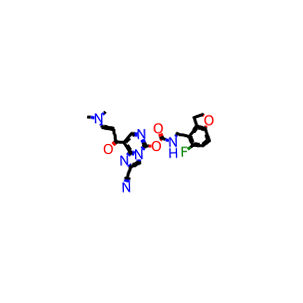 CN(C)/C=C/C(=O)c1cnc(OC(=O)NCc2c(F)ccc3c2CCO3)n2cc(C#N)nc12